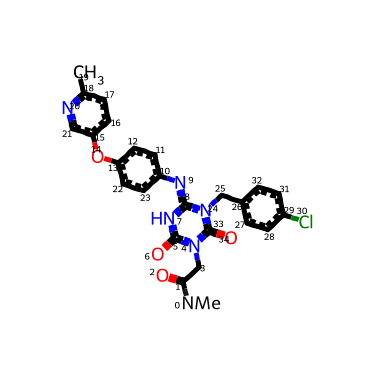 CNC(=O)Cn1c(=O)[nH]/c(=N\c2ccc(Oc3ccc(C)nc3)cc2)n(Cc2ccc(Cl)cc2)c1=O